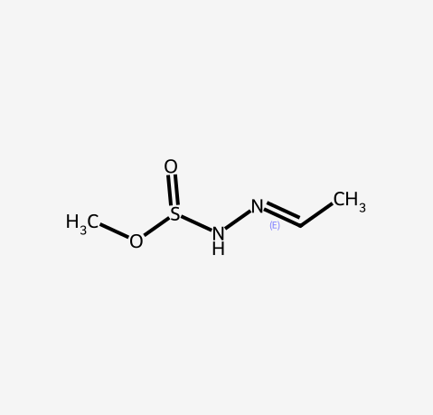 C/C=N/NS(=O)OC